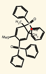 COC1(C)C=C(P(=O)(c2ccccc2)c2ccccc2)C(SC)=CC1(C)P(=O)(c1ccccc1)c1ccccc1